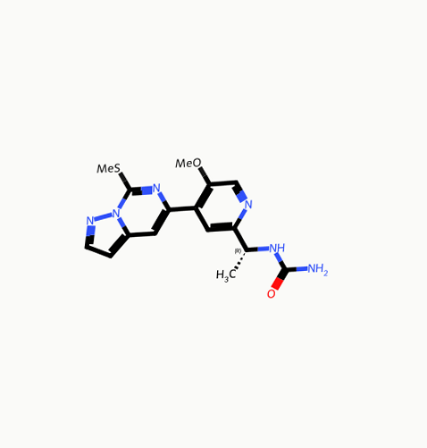 COc1cnc([C@@H](C)NC(N)=O)cc1-c1cc2ccnn2c(SC)n1